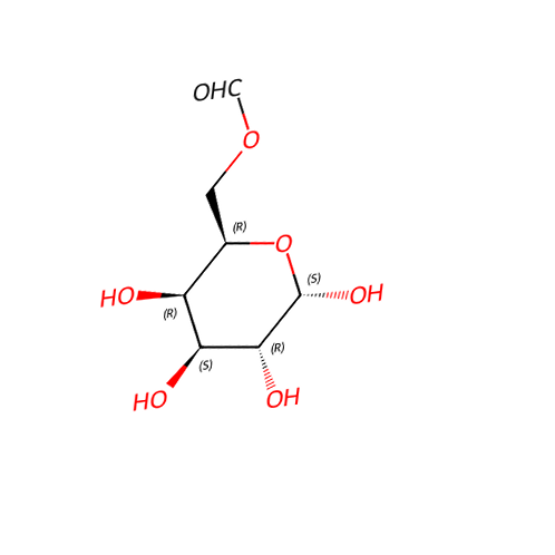 O=COC[C@H]1O[C@H](O)[C@H](O)[C@@H](O)[C@H]1O